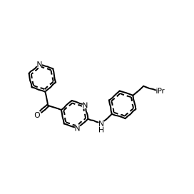 CC(C)Cc1ccc(Nc2ncc(C(=O)c3ccncc3)cn2)cc1